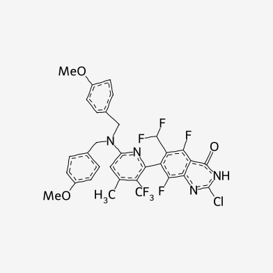 COc1ccc(CN(Cc2ccc(OC)cc2)c2cc(C)c(C(F)(F)F)c(-c3c(C(F)F)c(F)c4c(=O)[nH]c(Cl)nc4c3F)n2)cc1